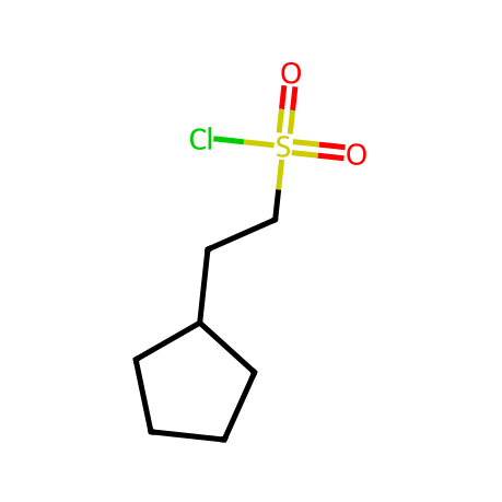 O=S(=O)(Cl)CCC1CCCC1